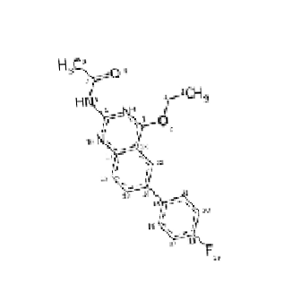 CCOc1nc(NC(C)=O)nc2ccc(-c3ccc(F)cc3)cc12